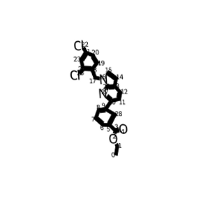 CCOC(=O)c1cccc(-c2ccc3ccn(Cc4ccc(Cl)cc4Cl)c3n2)c1